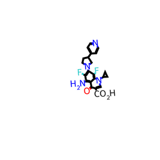 Nc1c(F)c(N2CCC(c3ccncc3)C2)c(F)c2c1c(=O)c(C(=O)O)cn2C1CC1